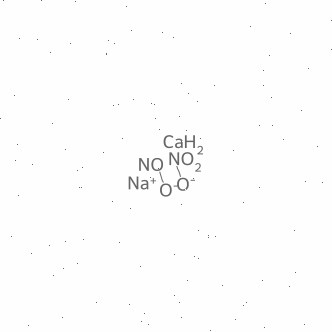 O=[N+]([O-])[O-].O=[NH+][O-].[CaH2].[Na+]